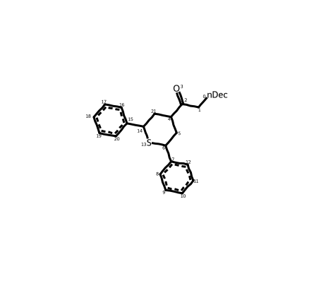 CCCCCCCCCCCC(=O)C1CC(c2ccccc2)SC(c2ccccc2)C1